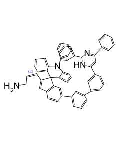 NC/C=C\C1=Cc2ccc(-c3cccc(-c4cccc(C5=CC(c6ccccc6)=NC(c6ccccc6)N5)c4)c3)cc2C12c1ccccc1N(c1ccccc1)c1ccccc12